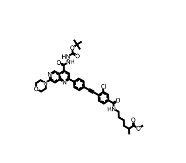 COC(=O)C(C)CCCCNC(=O)c1ccc(C#Cc2ccc(-c3cc(C(=O)NNC(=O)OC(C)(C)C)c4cnc(N5CCOCC5)cc4n3)cc2)c(Cl)c1